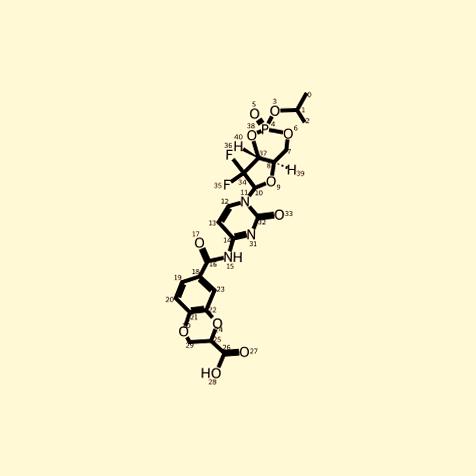 CC(C)OP1(=O)OC[C@H]2OC(n3ccc(NC(=O)c4ccc5c(c4)OC(C(=O)O)CO5)nc3=O)C(F)(F)[C@@H]2O1